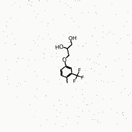 Cc1ccc(OCC(O)CO)cc1C(F)(F)F